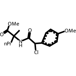 CCCC(C)(NC(=O)C(Cl)c1ccc(OC)cc1)C(=O)OC